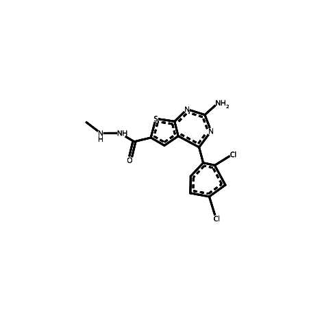 CNNC(=O)c1cc2c(-c3ccc(Cl)cc3Cl)nc(N)nc2s1